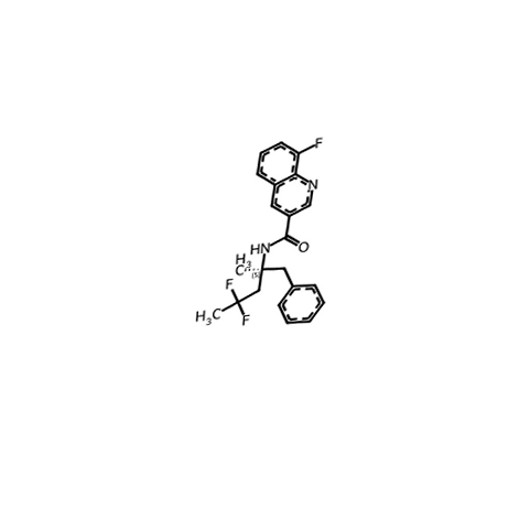 CC(F)(F)C[C@](C)(Cc1ccccc1)NC(=O)c1cnc2c(F)cccc2c1